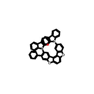 c1ccc(-c2cc3oc4ccc5oc6ccc(-n7c8ccccc8c8ccccc87)cc6c5c4c3cc2-n2c3ccccc3c3ccccc32)cc1